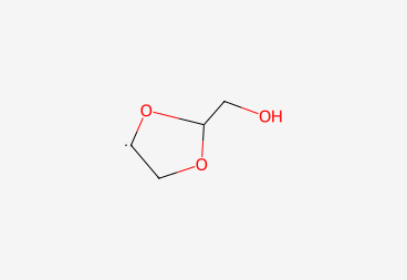 OCC1O[CH]CO1